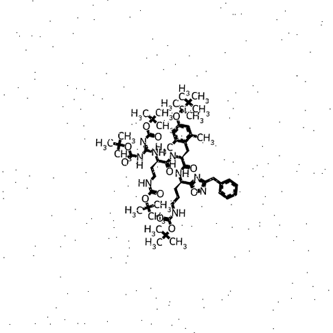 Cc1cc(O[Si](C)(C)C(C)(C)C)cc(C)c1C[C@H](NC(=O)[C@@H](CCNC(=O)OC(C)(C)C)N/C(=N\C(=O)OC(C)(C)C)NC(=O)OC(C)(C)C)C(=O)N[C@H](CCCNC(=O)OC(C)(C)C)c1nc(Cc2ccccc2)no1